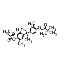 CCC(CC)(c1ccc(OCC(=O)C(C)(C)C)c(C)c1)c1ccc(OS(=O)(=O)CC)c(C)c1